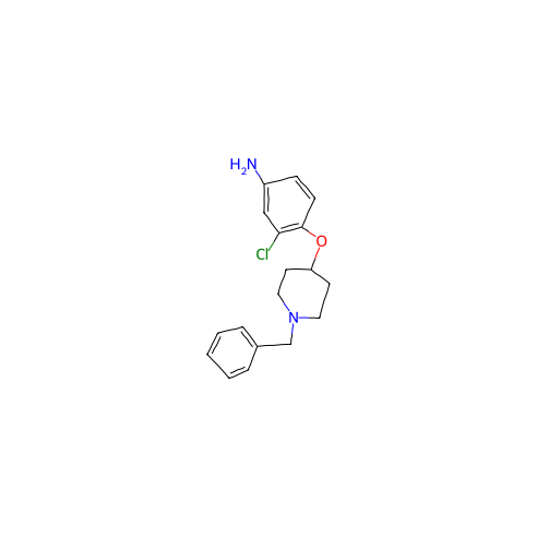 Nc1ccc(OC2CCN(Cc3ccccc3)CC2)c(Cl)c1